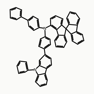 c1ccc(-c2ccc(N(c3ccc(-c4ccc5c6ccccc6n(-c6ccccc6)c5c4)cc3)c3cccc4c3-c3ccccc3C43c4ccccc4-c4ccccc43)cc2)cc1